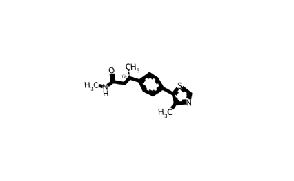 CNC(=O)C[C@H](C)c1ccc(-c2scnc2C)cc1